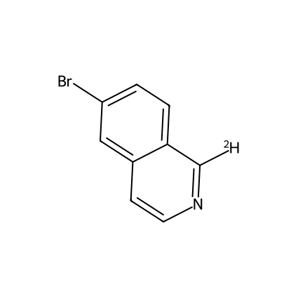 [2H]c1nccc2cc(Br)ccc12